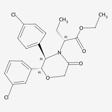 CCOC(=O)[C@@H](CC)N1C(=O)CO[C@H](c2cccc(Cl)c2)[C@H]1c1ccc(Cl)cc1